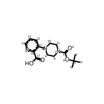 CC(C)(C)OC(=O)N1CCN(c2cccnc2C(=O)O)CC1